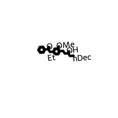 CCCCCCCCCCCCC(O)CCc1cc(CC)c(CC(=O)c2ccccc2)cc1OC